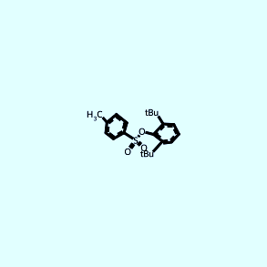 Cc1ccc(S(=O)(=O)Oc2c(C(C)(C)C)cccc2C(C)(C)C)cc1